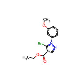 CCOC(=O)c1cnn(-c2cccc(OC)c2)c1Br